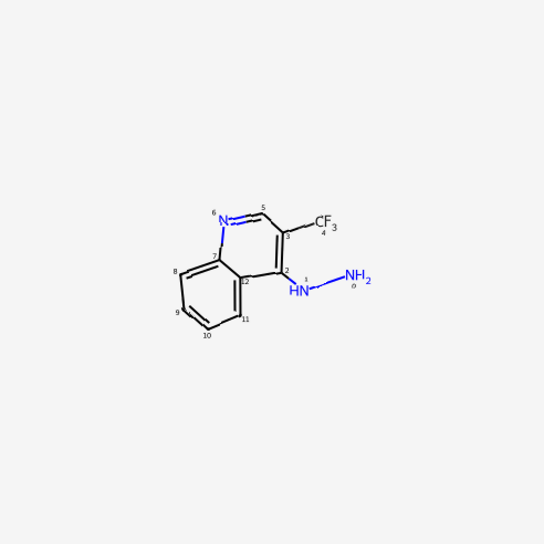 NNc1c(C(F)(F)F)cnc2ccccc12